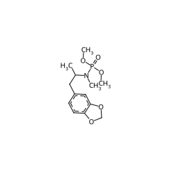 COP(=O)(OC)N(C)C(C)Cc1ccc2c(c1)OCO2